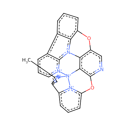 Cc1cc2n(n1)[N+]13c4c(ncc5c4-n4c6c(cccc6c6ccc[n+]1c64)O5)Oc1cccc-2[n+]13